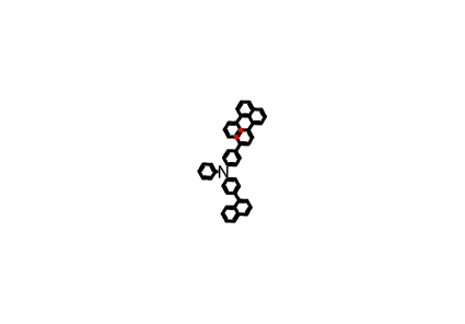 c1ccc(-c2cccc3cccc(-c4ccc(-c5ccc(N(c6ccccc6)c6ccc(-c7cccc8ccccc78)cc6)cc5)cc4)c23)cc1